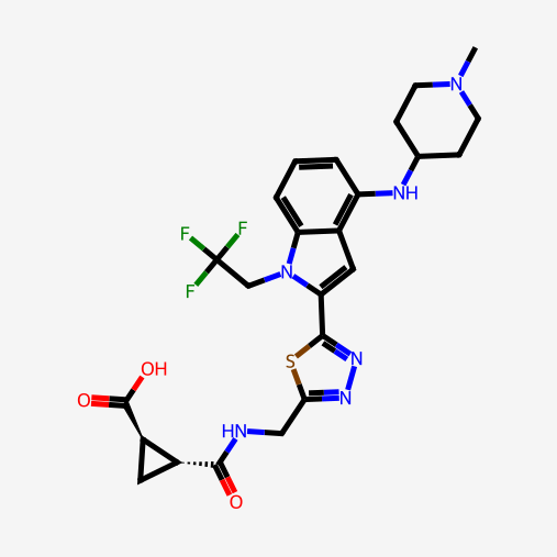 CN1CCC(Nc2cccc3c2cc(-c2nnc(CNC(=O)[C@@H]4C[C@H]4C(=O)O)s2)n3CC(F)(F)F)CC1